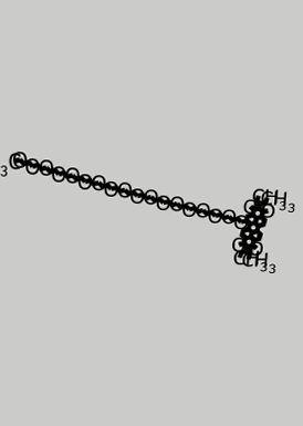 CCC(CC)N1C(=O)c2ccc3c4ccc5c6c(cc(OCCOCCOCCOCCOCCOCCOCCOCCOCCOCCOCCOCCOCCOCCOCCOCCOCCOC)c(c7ccc(c2c37)C1=O)c64)C(=O)N(C(CC)CC)C5=O